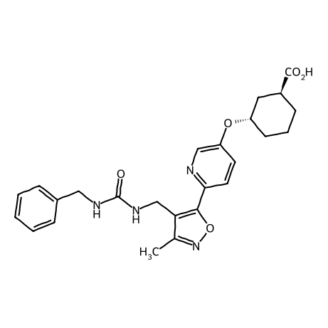 Cc1noc(-c2ccc(O[C@H]3CCC[C@H](C(=O)O)C3)cn2)c1CNC(=O)NCc1ccccc1